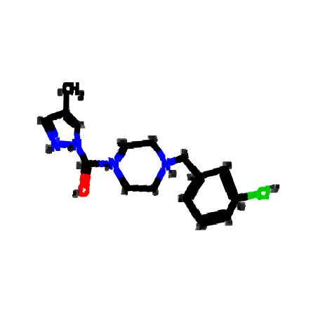 Cc1cnn(C(=O)N2CCN(Cc3cccc(Cl)c3)CC2)c1